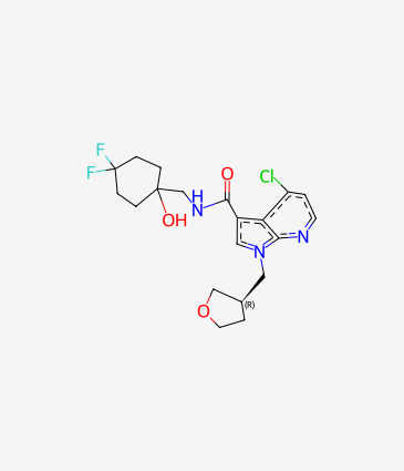 O=C(NCC1(O)CCC(F)(F)CC1)c1cn(C[C@H]2CCOC2)c2nccc(Cl)c12